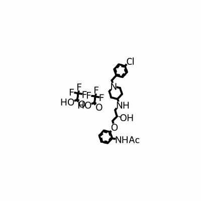 CC(=O)Nc1ccccc1OC[C@@H](O)CNC1CCN(Cc2ccc(Cl)cc2)CC1.O=C(O)C(F)(F)F.O=C(O)C(F)(F)F